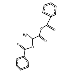 NC(OC(=O)c1ccccc1)C(=O)OC(=O)c1ccccc1